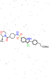 COCCc1ccc(-c2[nH]c3cc(S(=O)(=O)NC4CCC(C(=O)N5CCOC[C@@H]5C5CC5)CC4)ccc3c2Cl)cc1